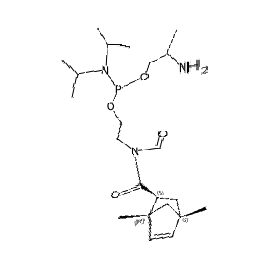 CC(N)COP(OCCN(C=O)C(=O)[C@H]1C[C@]2(C)C=C[C@@]1(C)C2)N(C(C)C)C(C)C